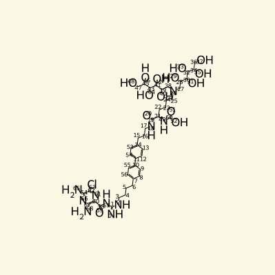 N=C(NCCCCc1ccc(-c2ccc(CCCNC(=O)C(CCCCN(CC(O)C(O)C(O)C(O)CO)CC(O)C(O)C(O)C(O)CO)NC(=O)O)cc2)cc1)NC(=O)c1nc(Cl)c(N)nc1N